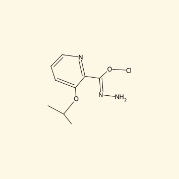 CC(C)Oc1cccnc1C(=NN)OCl